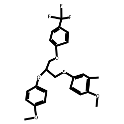 COc1ccc(OC(COc2ccc(C(F)(F)F)cc2)CSc2ccc(OC)c(C)c2)cc1